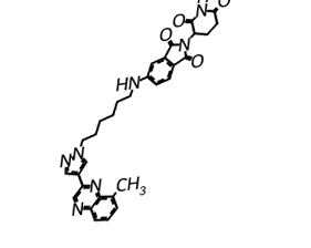 Cc1cccc2ncc(-c3cnn(CCCCCCNc4ccc5c(c4)C(=O)N(C4CCC(=O)NC4=O)C5=O)c3)nc12